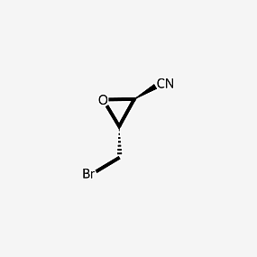 N#C[C@@H]1O[C@H]1CBr